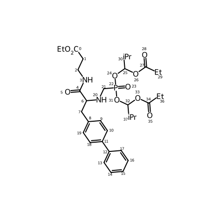 CCOC(=O)CCNC(=O)C(Cc1ccc(-c2ccccc2)cc1)NCP(=O)(OC(OC(=O)CC)C(C)C)OC(OC(=O)CC)C(C)C